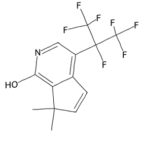 CC1(C)C=Cc2c(C(F)(C(F)(F)F)C(F)(F)F)cnc(O)c21